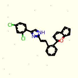 Clc1ccc(-c2c[nH]c(C=Cc3ccccc3-c3ccc4cccc-4o3)n2)c(Cl)c1